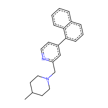 CC1CCN(Cc2cc(-c3cccc4ccccc34)ccn2)CC1